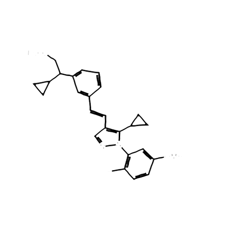 COc1ccc(F)c(-n2ncc(/C=C/c3cccc(C(CC(=O)O)C4CC4)c3)c2C2CC2)c1